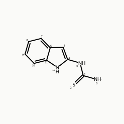 [NH]C(=S)Nc1cc2ccccc2[nH]1